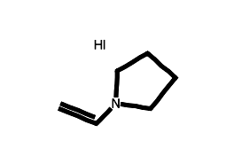 C=CN1CCCC1.I